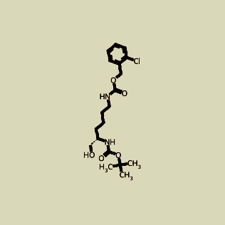 CC(C)(C)OC(=O)N[C@H](CO)CCCCNC(=O)OCc1ccccc1Cl